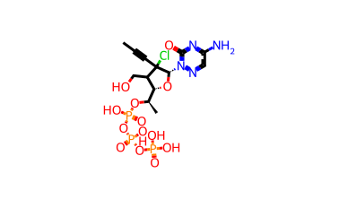 CC#CC1(Cl)C(CO)[C@@H]([C@@H](C)OP(=O)(O)OP(=O)(O)OP(=O)(O)O)O[C@H]1n1ncc(N)nc1=O